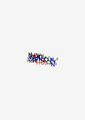 Cc1cncc(-c2ccc(-c3ccc(O[C@@H]4C[C@H]5CCC[C@H](N5)[C@@H]4F)nn3)c(O)c2)n1